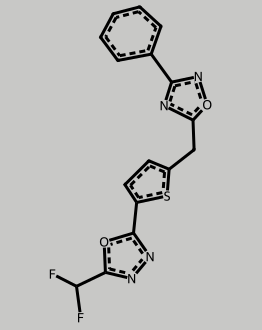 FC(F)c1nnc(-c2ccc(Cc3nc(-c4ccccc4)no3)s2)o1